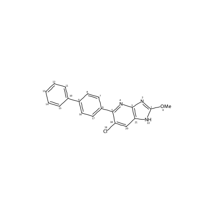 COc1nc2nc(-c3ccc(-c4ccccc4)cc3)c(Cl)cc2[nH]1